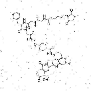 CC[C@@]1(O)C(=O)OCc2c1cc1n(c2=O)Cc2c-1nc1cc(F)c(C)c3c1c2[C@@H](NC(=O)[C@H]1CC[C@@H](OCNC(=O)CNC(=O)[C@H](Cc2ccccc2)NC(=O)CNC(=O)CNC(=O)CCCCCN2C(=O)CC(C)C2=O)CC1)CC3